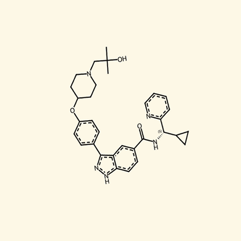 CC(C)(O)CN1CCC(Oc2ccc(-c3n[nH]c4ccc(C(=O)N[C@H](c5ccccn5)C5CC5)cc34)cc2)CC1